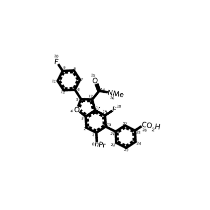 CCCc1cc2oc(-c3ccc(F)cc3)c(C(=O)NC)c2c(F)c1-c1cccc(C(=O)O)c1